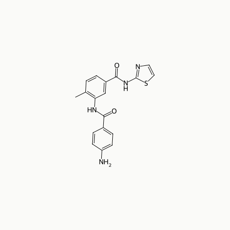 Cc1ccc(C(=O)Nc2nccs2)cc1NC(=O)c1ccc(N)cc1